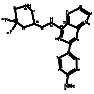 CNc1ccc(-c2cc3nccnc3c(NCC3CNCC(F)(F)C3)n2)cc1